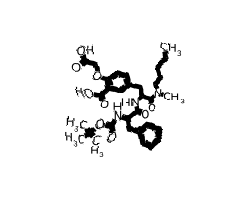 CCCCCN(C)C(=O)C(Cc1ccc(OCC(=O)O)c(C(=O)O)c1)NC(=O)C(Cc1ccccc1)NC(=O)OC(C)(C)C